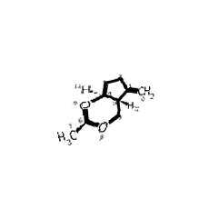 C=C1CC[C@@H]2O[C@H](C)OC[C@@H]12